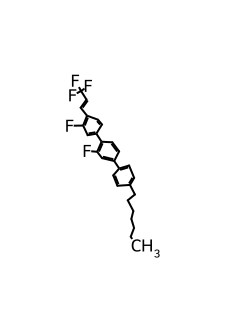 CCCCCCCc1ccc(-c2ccc(-c3ccc(/C=C/C(F)(F)F)c(F)c3)c(F)c2)cc1